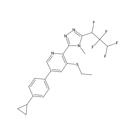 CCSc1cc(-c2ccc(C3CC3)cc2)cnc1-c1nnc(C(F)C(F)(F)C(F)F)n1C